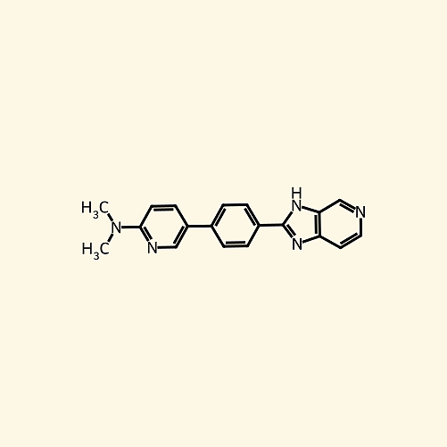 CN(C)c1ccc(-c2ccc(-c3nc4ccncc4[nH]3)cc2)cn1